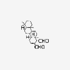 CC1(C)CCC[C@]2(C)[C@H]3CC[C@]4(C)[C@H](C=O)C(C=O)=CC[C@H]4C3=CC[C@@H]12